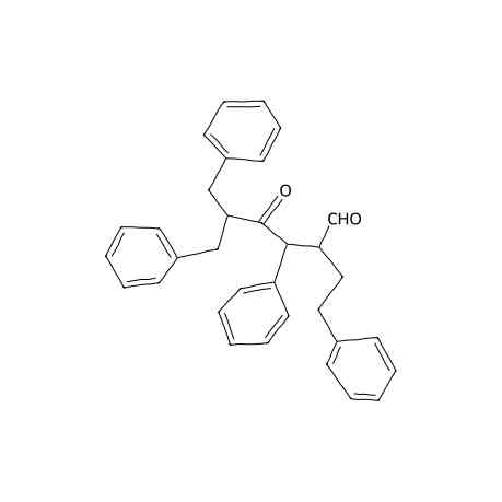 O=CC(CCc1ccccc1)C(C(=O)C(Cc1ccccc1)Cc1ccccc1)c1ccccc1